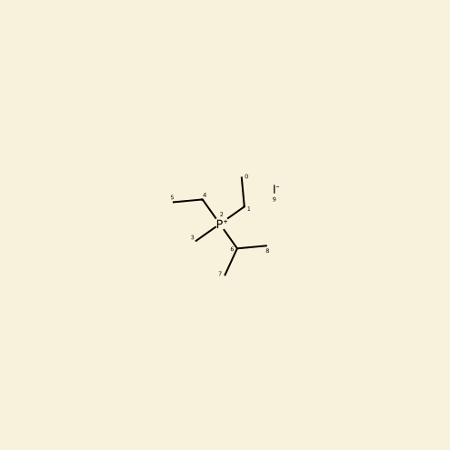 CC[P+](C)(CC)C(C)C.[I-]